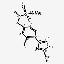 CNS(=O)(=O)N(C)Cc1ccc(-c2noc(C(F)(F)F)n2)c(F)c1